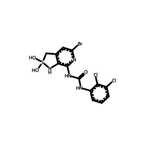 O=C(Nc1cccc(Cl)c1Cl)Nc1nc(Br)cc2c1NS(O)(O)C2